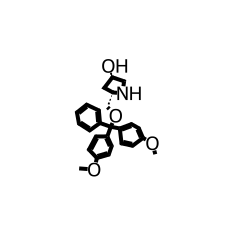 COc1ccc(C(OC[C@@H]2C[C@H](O)CN2)(c2ccccc2)c2ccc(OC)cc2)cc1